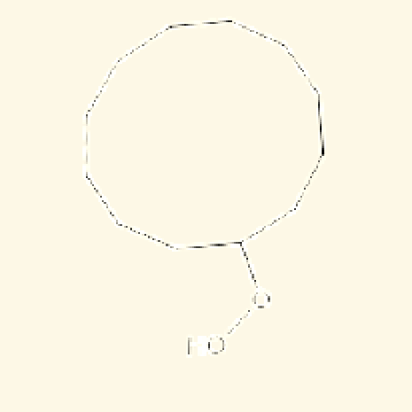 OOC1CCCCCCCCCCC1